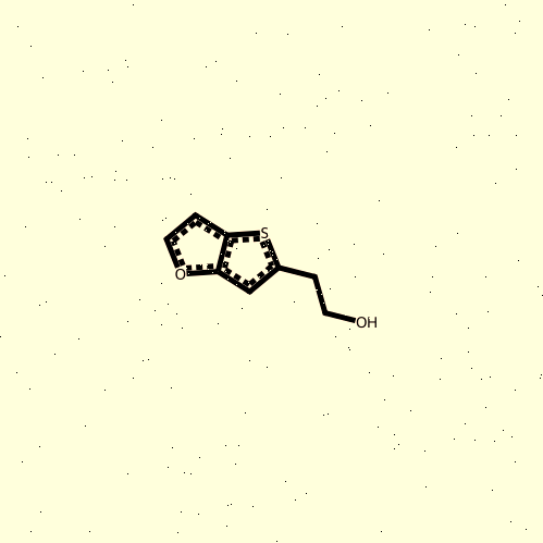 OCCc1cc2occc2s1